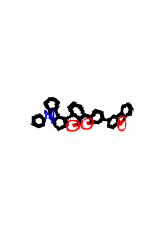 O=c1oc2cc(-c3ccc4oc5ccccc5c4c3)ccc2c2cccc(-c3cccc4c3c3ccccc3n4-c3ccccc3)c12